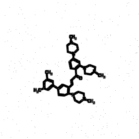 Cc1cc(C)cc(-c2ccc(N3CCN(C)CC3)c(C=CC(=O)c3ccc(N4CCN(C)CC4)cc3N3CCN(C)CC3)c2)c1